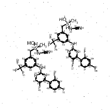 C[SH](O)(Cc1cc(Nc2ncc(F)c(-c3ccc(F)cc3F)n2)cc(C(F)(F)F)c1)=NC#N.C[SH](O)(Cc1cc(Nc2ncc(F)c(-c3ccc(F)cc3F)n2)cc(C(F)(F)F)c1)=NC#N